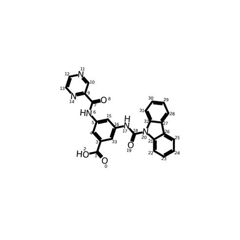 O=C(O)c1cc(NC(=O)c2cnccn2)cc(NC(=O)n2c3ccccc3c3ccccc32)c1